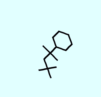 CC(C)(C)CC(C)(C)C1CCCCC1